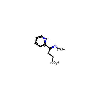 CON=C(CCC(=O)O)c1ccccn1